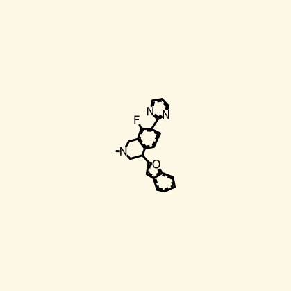 CN1Cc2c(ccc(-c3ncccn3)c2F)C(c2cc3ccccc3o2)C1